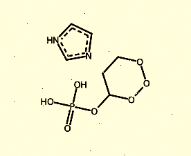 O=P(O)(O)OC1CCOOO1.c1c[nH]cn1